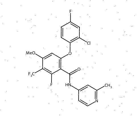 COc1cc(Oc2ccc(F)cc2Cl)c(C(=O)Nc2ccnc(C)c2)c(F)c1C(F)(F)F